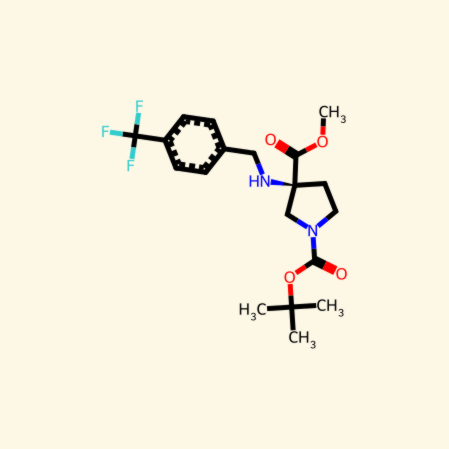 COC(=O)[C@]1(NCc2ccc(C(F)(F)F)cc2)CCN(C(=O)OC(C)(C)C)C1